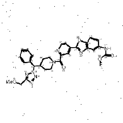 COCc1nnn(C(c2ccccc2)C2CCN(C(=O)c3cc(-c4nc5cc(NC(=O)OF)ccc5o4)ccn3)CC2)n1